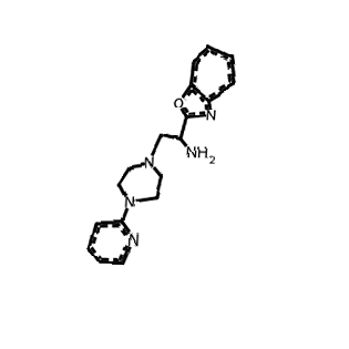 NC(CN1CCN(c2ccccn2)CC1)c1nc2ccccc2o1